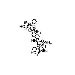 CC(C)(C)N(C(=O)O)[C@H](C(=O)N1CCC[C@@]1(C(N)=O)c1ccc2c(c1)CCc1c-2[nH]c2ccc([C@]3(C(N)=O)CCCN3C(=O)[C@H](c3ccccc3)N(C(=O)O)C(C)(C)C)cc12)c1ccccc1